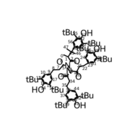 CC(C(=O)N(C(=O)CCc1cc(C(C)(C)C)c(O)c(C(C)(C)C)c1)N(C(=O)CCc1cc(C(C)(C)C)c(O)c(C(C)(C)C)c1)C(=O)CCc1cc(C(C)(C)C)c(O)c(C(C)(C)C)c1)C(C)(C)c1cc(C(C)(C)C)c(O)c(C(C)(C)C)c1